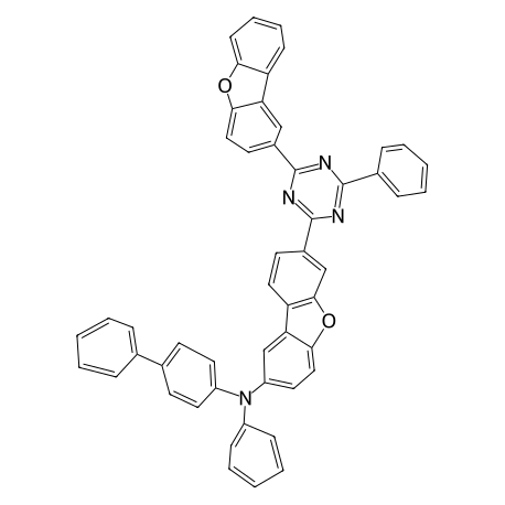 c1ccc(-c2ccc(N(c3ccccc3)c3ccc4oc5cc(-c6nc(-c7ccccc7)nc(-c7ccc8oc9ccccc9c8c7)n6)ccc5c4c3)cc2)cc1